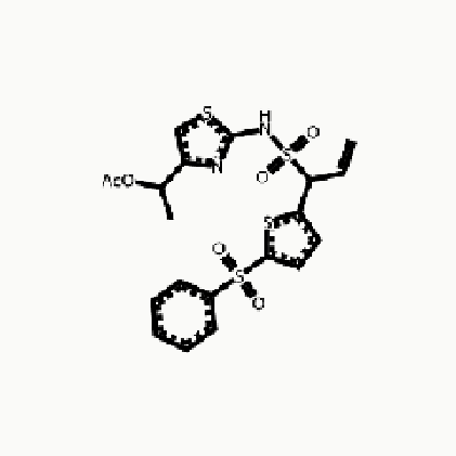 C=CC(c1ccc(S(=O)(=O)c2ccccc2)s1)S(=O)(=O)Nc1nc(C(C)OC(C)=O)cs1